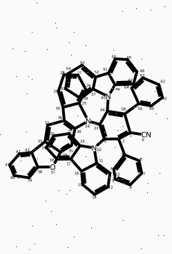 N#Cc1c(-c2ccccc2)c(-n2c3ccccc3c3ccccc32)c(-n2c3ccccc3c3cc4c(cc32)oc2ccccc24)c(-n2c3ccccc3c3ccccc32)c1-c1ccccc1